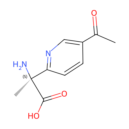 CC(=O)c1ccc([C@](C)(N)C(=O)O)nc1